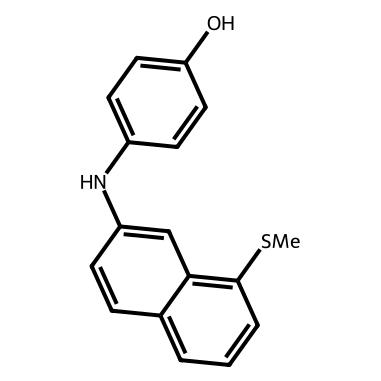 CSc1cccc2ccc(Nc3ccc(O)cc3)cc12